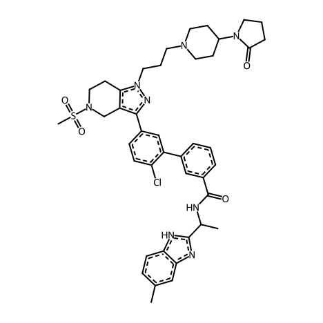 Cc1ccc2[nH]c(C(C)NC(=O)c3cccc(-c4cc(-c5nn(CCCN6CCC(N7CCCC7=O)CC6)c6c5CN(S(C)(=O)=O)CC6)ccc4Cl)c3)nc2c1